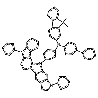 CC1(C)c2ccccc2-c2ccc(N(c3ccc(-c4ccccc4)cc3)c3ccc(-n4c5cc6c(ccn6-c6ccccc6)cc5c5ccc6c(c7ccccc7n6-c6ccccc6)c54)cc3)cc21